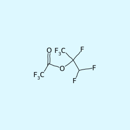 O=C(OC(F)(C(F)F)C(F)(F)F)C(F)(F)F